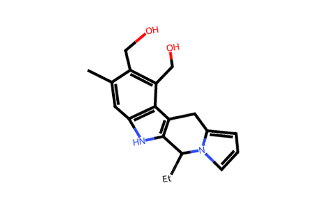 CCC1c2[nH]c3cc(C)c(CO)c(CO)c3c2Cc2cccn21